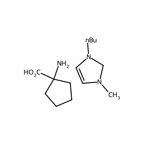 CCCCN1C=CN(C)C1.NC1(C(=O)O)CCCC1